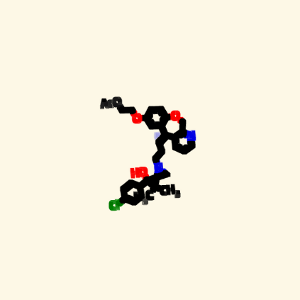 CC(=O)OCCOc1ccc2c(c1)/C(=C/CCN1CC13C(C)(C)C3(O)C1C=CC(Cl)=CC1)c1cccnc1CO2